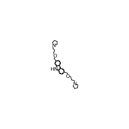 c1cc2c(cc1COCCCN1CCCC1)[nH]c1ccc(COCCCN3CCCC3)cc12